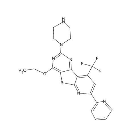 CCOc1nc(N2CCNCC2)nc2c1sc1nc(-c3ccccn3)cc(C(F)(F)F)c12